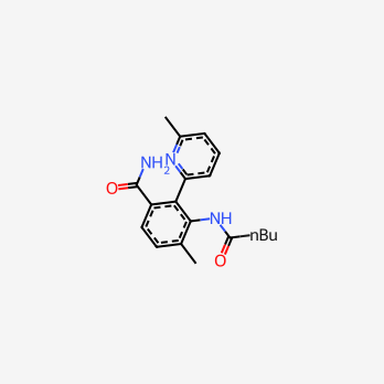 CCCCC(=O)Nc1c(C)ccc(C(N)=O)c1-c1cccc(C)n1